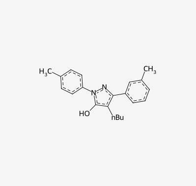 CCCCc1c(-c2cccc(C)c2)nn(-c2ccc(C)cc2)c1O